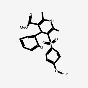 CCCOc1ccc(S(=O)(=O)C2=C(C)NC(C)=C(C(=O)OC)C2c2ccccc2Cl)cc1